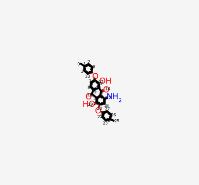 Cc1ccc(Oc2ccc3c(c2O)C(=O)c2c(N)cc(Oc4ccc(C)cc4)c(O)c2C3=O)cc1